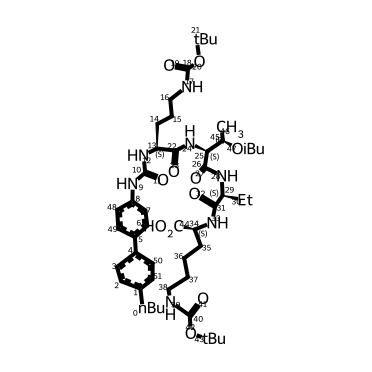 CCCCc1ccc(-c2ccc(NC(=O)N[C@@H](CCCNC(=O)OC(C)(C)C)C(=O)N[C@H](C(=O)N[C@@H](CC)C(=O)N[C@@H](CCCCNC(=O)OC(C)(C)C)C(=O)O)[C@@H](C)OCC(C)C)cc2)cc1